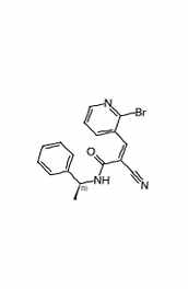 C[C@H](NC(=O)C(C#N)=Cc1cccnc1Br)c1ccccc1